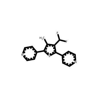 Cc1c(-c2ccncc2)sc(-c2ccncc2)c1C(F)F